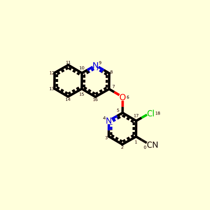 N#Cc1ccnc(Oc2cnc3ccccc3c2)c1Cl